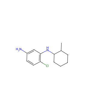 CC1[CH]CCCC1Nc1cc(N)ccc1Cl